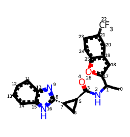 CC(NC(=O)[C@H]1C[C@@H]1c1nc2ccccc2[nH]1)c1cc2cc(C(F)(F)F)ccc2o1